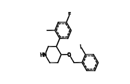 Cc1cc(F)ccc1C1CNCCC1OCc1ccccc1I